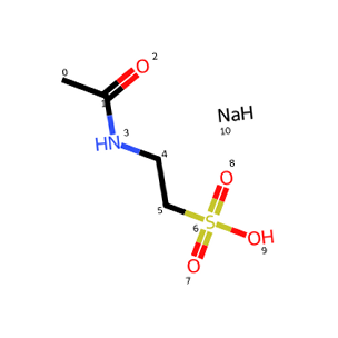 CC(=O)NCCS(=O)(=O)O.[NaH]